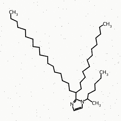 CCCCCCCCCCCCCCCCCCC(CCCCCCCCCCCCC)c1nccn1C(C)CCCCC